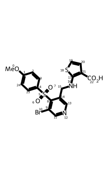 COc1ccc(S(=O)(=O)c2c(Br)cncc2CNc2sccc2C(=O)O)cc1